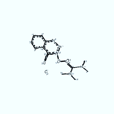 CN(C)C(=[O+]On1nnc2ccccc2c1=O)N(C)C.[Cl-]